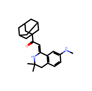 CNc1ccc2c(c1)C(=CC(=O)C13CC4CC(CC(C4)C1)C3)NC(C)(C)C2